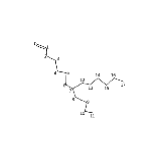 C=CCCCCCC(CCCC)CCCCCC